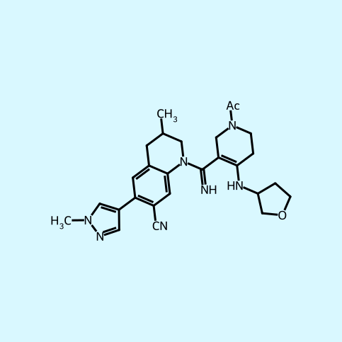 CC(=O)N1CCC(NC2CCOC2)=C(C(=N)N2CC(C)Cc3cc(-c4cnn(C)c4)c(C#N)cc32)C1